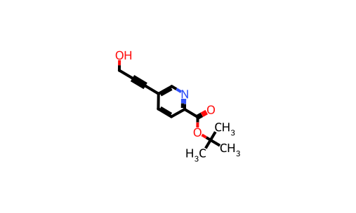 CC(C)(C)OC(=O)c1ccc(C#CCO)cn1